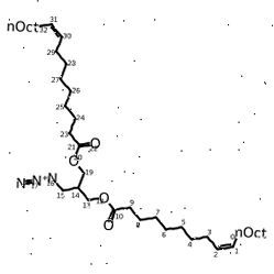 CCCCCCCC/C=C\CCCCCCCC(=O)OCC(CN=[N+]=[N-])COC(=O)CCCCCCC/C=C\CCCCCCCC